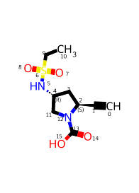 C#C[C@@H]1C[C@@H](NS(=O)(=O)CC)CN1C(=O)O